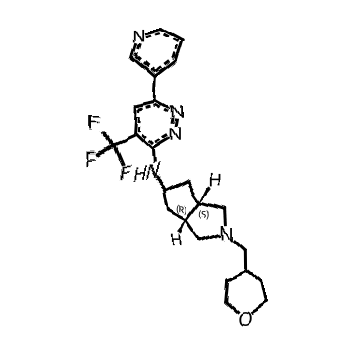 FC(F)(F)c1cc(-c2cccnc2)nnc1NC1C[C@@H]2CN(CC3CCOCC3)C[C@@H]2C1